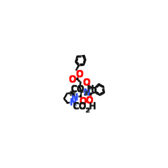 O=C(CCC(C(=O)N1[C@H](C(=O)O)CCCN1C(=O)O)N1C(=O)c2ccccc2C1=O)OCc1ccccc1